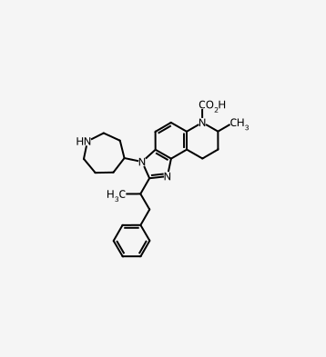 CC(Cc1ccccc1)c1nc2c3c(ccc2n1C1CCCNCC1)N(C(=O)O)C(C)CC3